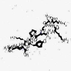 C[C@H](NC(=O)[C@@H](NC(=O)[C@@H](N)CCCCN)[C@@H](O)CN)C(=O)NCC(=O)/N=C(\CCCN)C(=O)N1CCC[C@H]1C(=O)N[C@@H](Cc1ccc(Cl)cc1)C(=O)N[C@@H](CCCCN)C(=O)N/C(=C\CCNC(=N)N)C(=O)O